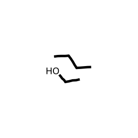 CCCC.CCO